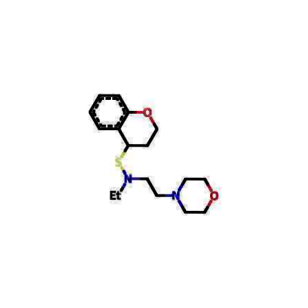 CCN(CCN1CCOCC1)SC1CCOc2ccccc21